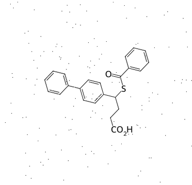 O=C(O)CCC(SC(=O)c1ccccc1)c1ccc(-c2ccccc2)cc1